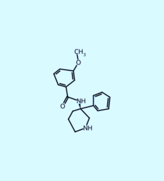 COc1cccc(C(=O)N[C@]2(c3ccccc3)CCCNC2)c1